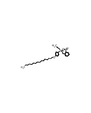 C=CC[SiH](OCc1ccccc1[N+](=O)[O-])c1ccc(OCCCCCCCCCCCCCCCC)cc1